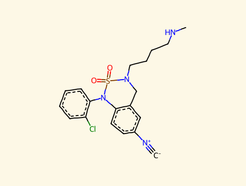 [C-]#[N+]c1ccc2c(c1)CN(CCCCNC)S(=O)(=O)N2c1ccccc1Cl